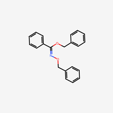 [c]1ccc(C(=NOCc2ccccc2)OCc2ccccc2)cc1